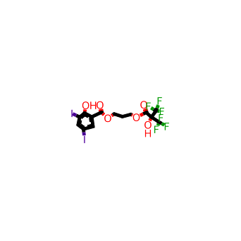 O=C(OCCCOC(=O)C(O)(C(F)(F)F)C(F)(F)F)c1cc(I)cc(I)c1O